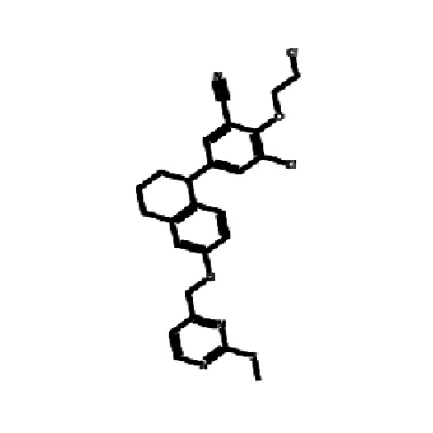 CSc1nccc(COc2ccc3c(c2)CCCC3c2cc(Cl)c(OCCCl)c(C#N)c2)n1